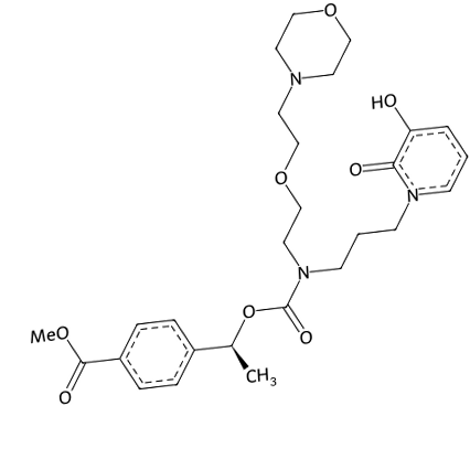 COC(=O)c1ccc([C@H](C)OC(=O)N(CCCn2cccc(O)c2=O)CCOCCN2CCOCC2)cc1